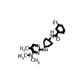 CCc1cccc(C(=O)NC2CCC(Nc3ncc(C)c(N(C)C)n3)CC2)c1